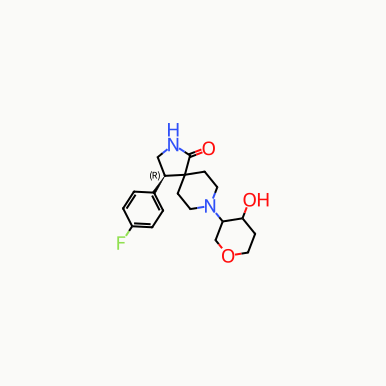 O=C1NC[C@H](c2ccc(F)cc2)C12CCN(C1COCCC1O)CC2